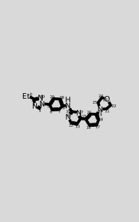 CCc1ncn(-c2ccc(Nc3nccc(-c4cccc(N5CCOCC5)c4)n3)cc2)n1